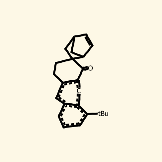 CC(C)(C)c1cccc2cc3c(cc12)C(=O)C1(CC3)CC2C=CC1C2